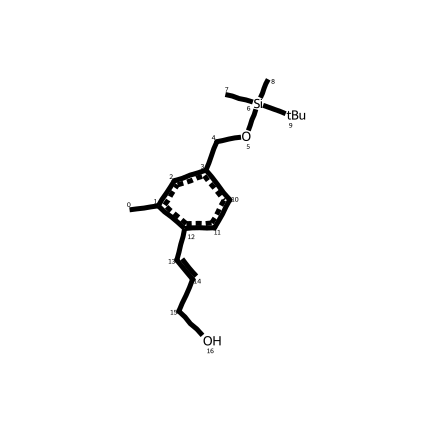 Cc1cc(CO[Si](C)(C)C(C)(C)C)ccc1/C=C/CO